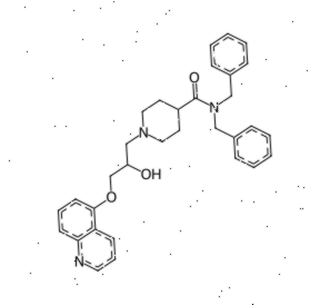 O=C(C1CCN(CC(O)COc2cccc3ncccc23)CC1)N(Cc1ccccc1)Cc1ccccc1